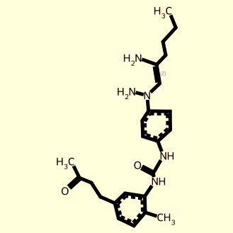 CCCC/C(N)=C/N(N)c1ccc(NC(=O)Nc2cc(CCC(C)=O)ccc2C)cc1